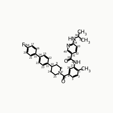 Cc1ccc(C(=O)N2CCC(c3ccc(-c4ccc(F)cc4)cc3)CC2)cc1NC(=O)c1ccc(NC(C)C)nc1